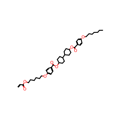 C=CC(=O)OCCCCCCOc1ccc(C(=O)OC2CCC(C3CCC(OC(=O)c4ccc(OCCCCCCC)cc4)CC3)CC2)cc1